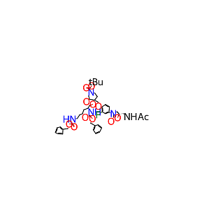 CC(=O)NC[C@H]1CN(c2ccc(OCC3(OC(=O)C(CCCCNC(=O)OCc4ccccc4)NC(=O)OCc4ccccc4)CCN(C(=O)OC(C)(C)C)CC3)c(F)c2)C(=O)O1